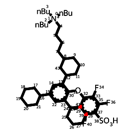 CCCC[N+](CCCC)(CCCC)CCCCC1CCCC(c2cc(C3CCCCC3)cc(C3CCCCC3)c2Oc2c(F)c(F)c(S(=O)(=O)O)c(F)c2F)C1